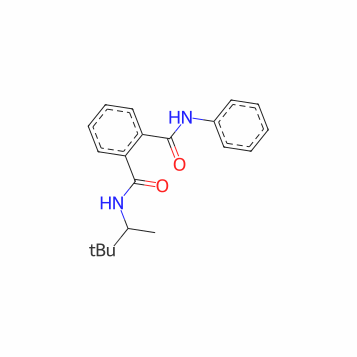 CC(NC(=O)c1ccccc1C(=O)Nc1ccccc1)C(C)(C)C